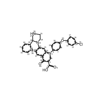 O=C(O)c1cn(-c2ccc(Oc3ccc(Cl)cc3)cc2)c2cc(N3CCNCC3c3ccccn3)c(F)cc2c1=O